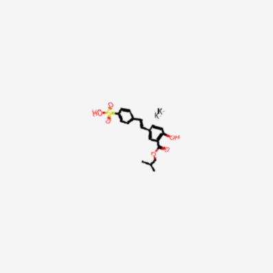 CC(C)COC(=O)c1cc(C=Cc2ccc(S(=O)(=O)O)cc2)ccc1O.[K].[K]